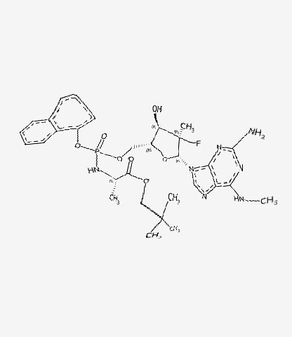 CNc1nc(N)nc2c1ncn2[C@@H]1O[C@H](COP(=O)(N[C@@H](C)C(=O)OCC(C)(C)C)Oc2cccc3ccccc23)[C@@H](O)[C@@]1(C)F